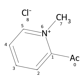 CC(=O)c1cccc[n+]1C.[Cl-]